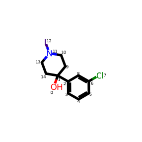 OC1(c2cccc(Cl)c2)CCN(I)CC1